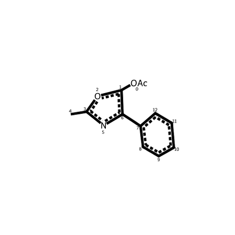 CC(=O)Oc1oc(C)nc1-c1ccccc1